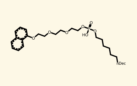 CCCCCCCCCCCCCCCCOP(=O)(O)OCCOCCOCCOc1cccc2ccccc12